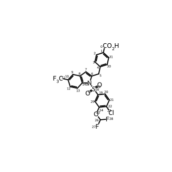 O=C(O)c1ccc(Cc2cc3cc(C(F)(F)F)ccc3n2S(=O)(=O)c2ccc(Cl)c(OC(F)F)c2)cc1